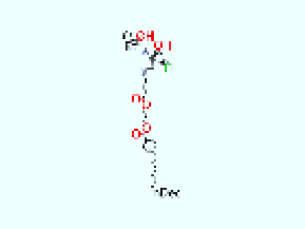 CCCCCCCCCCCCCCCCc1ccc(C(=O)OCCCOC(=O)CCC/C=C\C[C@@H]2[C@H](/C=C/C[C@H](O)C3(CC)CCC3)[C@H](O)C[C@@H]2Cl)cc1